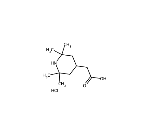 CC1(C)CC(CC(=O)O)CC(C)(C)N1.Cl